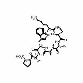 CC(C)C[C@H](NC(=O)[C@@H](N)CCCCN)C(=O)N[C@H](C(=O)N[C@@H](C)C(=O)N[C@@H](Cc1c[nH]c2ccccc12)C(=O)N[C@H](C(=O)N1CCC[C@H]1C(=O)O)C(C)C)C(C)C